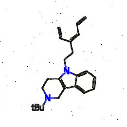 C=C/C=C(\C=C)CCn1c2c(c3ccccc31)CN(C(C)(C)C)CC2